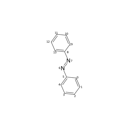 [c]1ccccc1N=Nc1[c]cccc1